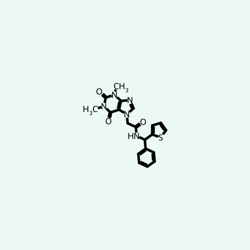 Cn1c(=O)c2c(ncn2CC(=O)NC(c2ccccc2)c2cccs2)n(C)c1=O